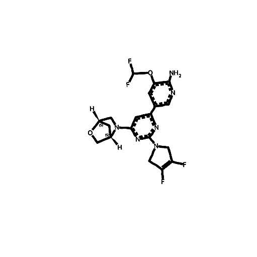 Nc1ncc(-c2cc(N3C[C@@H]4C[C@H]3CO4)nc(N3CC(F)=C(F)C3)n2)cc1OC(F)F